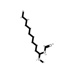 [CH2]OC(CCCCCCCCCC)O[C]=O